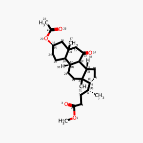 COC(=O)CC[C@@H](C)[C@H]1CC[C@H]2C3C(=O)CC4(C)C[C@H](OC(C)=O)CCC4[C@H]3CCC12C